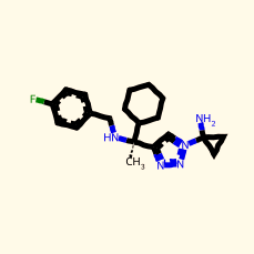 C[C@@](NCc1ccc(F)cc1)(c1cn(C2(N)CC2)nn1)C1CCCCC1